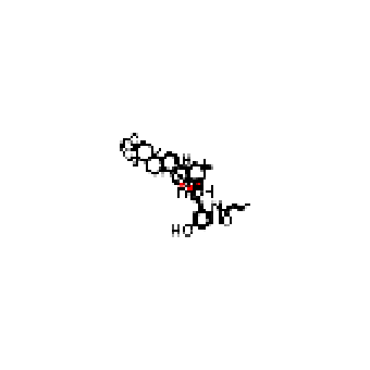 C/C=C/C(=O)Nc1ccc(O)cc1/C=C/C(=O)OC[C@@]12CC[C@@]3(C(=O)O)CCC(C)(C)C[C@H]3C1=CCC1[C@@]3(C)CCC4(OCCO4)C(C)(C)C3CC[C@]12C